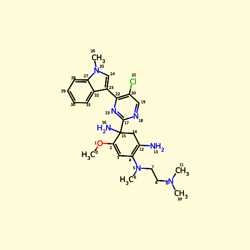 COC1=CC(N(C)CCN(C)C)=C(N)CC1(N)c1ncc(Cl)c(-c2cn(C)c3ccccc23)n1